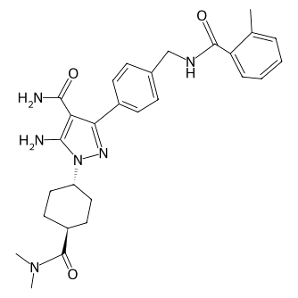 Cc1ccccc1C(=O)NCc1ccc(-c2nn([C@H]3CC[C@H](C(=O)N(C)C)CC3)c(N)c2C(N)=O)cc1